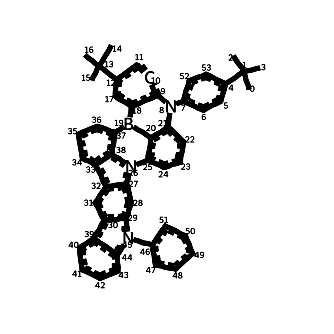 CC(C)(C)c1ccc(N2c3ccc(C(C)(C)C)cc3B3c4c2cccc4-n2c4cc5c(cc4c4cccc3c42)c2ccccc2n5-c2ccccc2)cc1